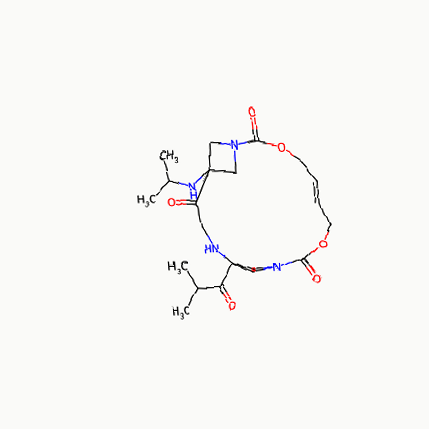 CC(C)NC12CN(C1)C(=O)OC/C=C/COC(=O)N1CC(C(=O)C(C)C)(C1)NCC2=O